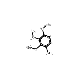 CC(C)(C)Oc1ccc([SiH3])c(OC(C)(C)C)c1OC(C)(C)C